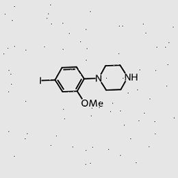 COc1cc(I)ccc1N1CCNCC1